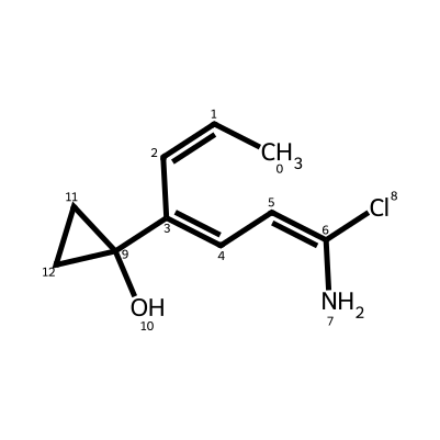 C\C=C/C(=C\C=C(/N)Cl)C1(O)CC1